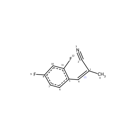 C/C(C#N)=C/c1ccc(F)cc1F